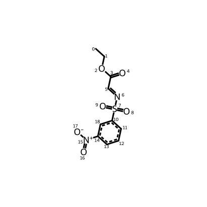 CCOC(=O)C=NS(=O)(=O)c1cccc([N+](=O)[O-])c1